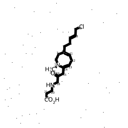 CN1CC/C(CC/C=C/CCl)=C\C/C=C\1CC(=O)CNCCC(=O)O